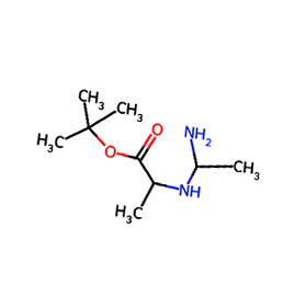 CC(N)NC(C)C(=O)OC(C)(C)C